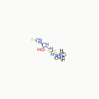 CN(c1nc2sc(-c3ncc(-n4cc(F)cn4)cc3O)nc2s1)C1C[C@H]2CC[C@@H](C1)N2